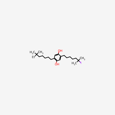 CCC(C)(C)CCCCCc1cc(O)c(CCCCCC(C)(C)I)cc1O